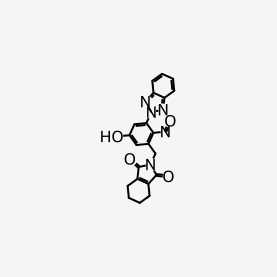 O=Nc1c(CN2C(=O)C3=C(CCCC3)C2=O)cc(O)cc1-n1nc2ccccc2n1